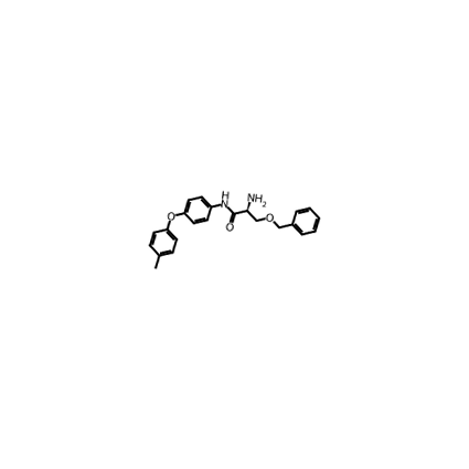 Cc1ccc(Oc2ccc(NC(=O)[C@@H](N)COCc3ccccc3)cc2)cc1